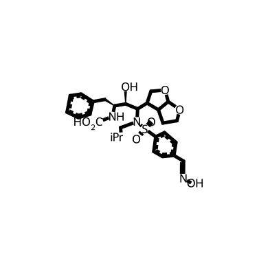 CC(C)CN(C(C1COC2OCCC21)[C@H](O)[C@H](Cc1ccccc1)NC(=O)O)S(=O)(=O)c1ccc(C=NO)cc1